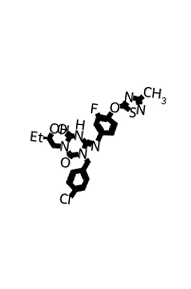 CC[C@@H](O)Cn1c(=O)[nH]/c(=N\c2ccc(Oc3nc(C)ns3)c(F)c2)n(Cc2ccc(Cl)cc2)c1=O